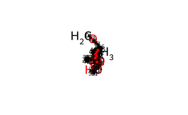 C=CCOCCCCc1ccc(Cc2cc([C@]34OC[C@](CCO)(O3)[C@@H](OCc3ccccc3)[C@H](OCc3ccccc3)[C@H]4OCc3ccccc3)ccc2C)cc1